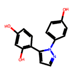 Oc1ccc(-n2nccc2-c2ccc(O)cc2O)cc1